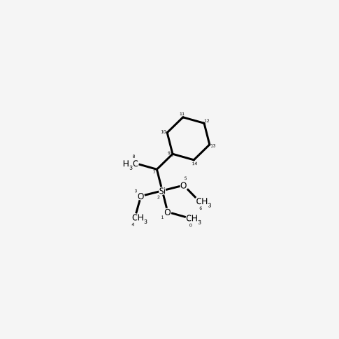 CO[Si](OC)(OC)C(C)[C]1CCCCC1